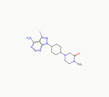 CN1CCN(C2CCC(n3nc(I)c4c(N)ncnc43)CC2)CC1=O